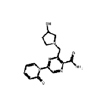 NC(=O)c1ncc(-n2ccccc2=O)nc1CN1CCC(O)C1